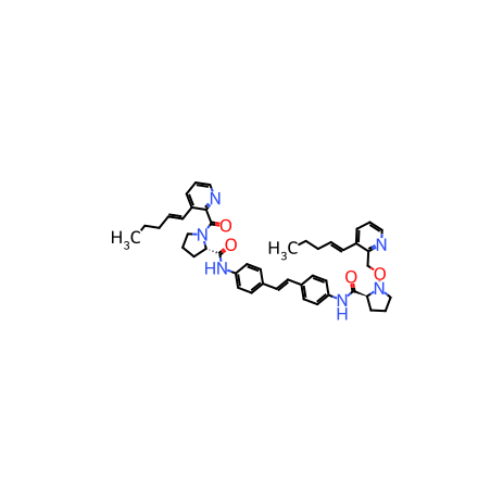 CCC/C=C/c1cccnc1CON1CCC[C@H]1C(=O)Nc1ccc(/C=C/c2ccc(NC(=O)[C@@H]3CCCN3C(=O)c3ncccc3/C=C/CCC)cc2)cc1